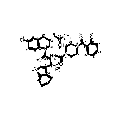 C[C@@H](c1c[nH]c2ccccc12)[C@@H](NC(=O)N1CCN(C(=O)c2ccccc2Cl)CC1)C(=O)N1C[C@@H](CN(C)C)Cc2cc(Cl)ccc21